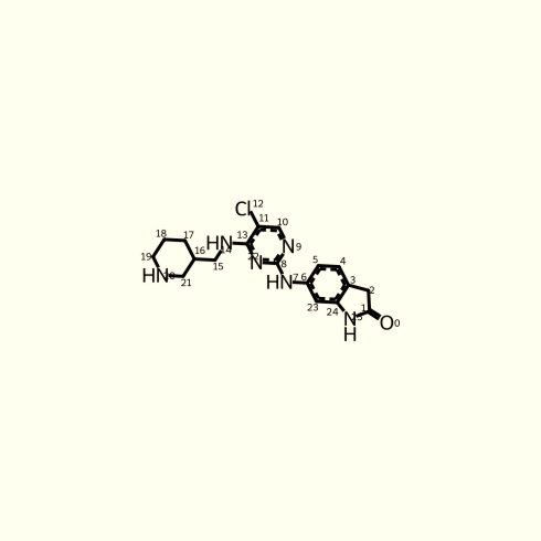 O=C1Cc2ccc(Nc3ncc(Cl)c(NCC4CCCNC4)n3)cc2N1